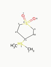 C[SH](C)C1CCS(=O)(=O)CC1